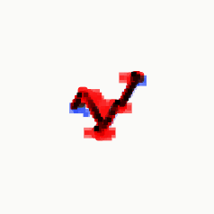 CC(/C=C/CC/C=C/C=C/C=C/C=C/C(=O)NC1=C(O)CCC1=O)C(O)C(C)C(O)/C=C/C=C/C=C/C=C/C=C/CC(OC1OC(C)C(O)C(O)C1O)C(C)C(=O)CC(O)CC(O)CC(O)/C=C/CC(O)CC(O)CC(O)CC(O)C1OC1CC(O)CC(O)CCCN